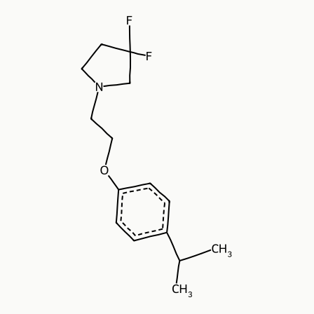 CC(C)c1ccc(OCCN2CCC(F)(F)C2)cc1